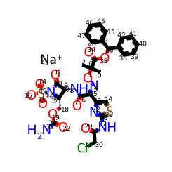 CC(C)(ON=C(C(=O)N[C@H]1C(=O)N(S(=O)(=O)[O-])[C@H]1COC(N)=O)c1csc(NC(=O)CCl)n1)C(=O)OC(c1ccccc1)c1ccccc1.[Na+]